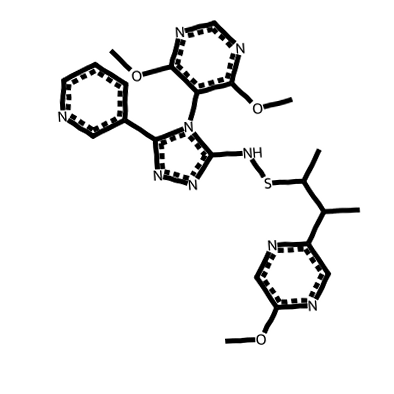 COc1cnc(C(C)C(C)SNc2nnc(-c3cccnc3)n2-c2c(OC)ncnc2OC)cn1